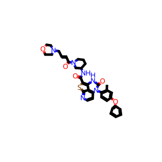 Cc1cc(Oc2ccccc2)ccc1N1C(=O)Nc2c(C(=O)NC3CCCN(C(=O)C=CCN4CCOCC4)C3)sc3nccc1c23